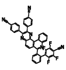 N#Cc1ccc(-c2nc3ccc4c(-c5ccccc5-c5c(F)c(F)c(C#N)c(F)c5F)nc5ccccc5c4c3nc2-c2ccc(C#N)cc2)cc1